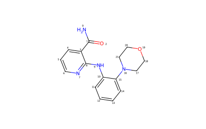 NC(=O)c1cccnc1Nc1ccccc1N1CCOCC1